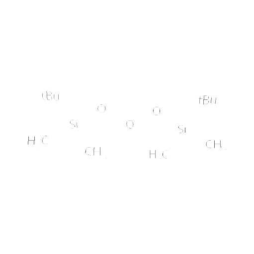 CC(C)(C)[Si](C)(C)OOO[Si](C)(C)C(C)(C)C